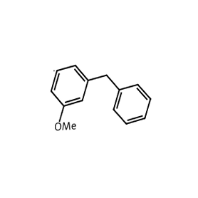 COc1c[c]cc(Cc2ccccc2)c1